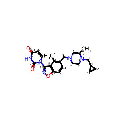 Cc1c(CN2CCN(CC3CC3)C(C)C2)ccc2onc(-n3ccc(=O)[nH]c3=O)c12